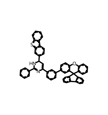 C1=C(c2cccc(-c3ccc4c(c3)C3(c5ccccc5O4)c4ccccc4-c4ccccc43)c2)N=C(c2ccccc2)NC1c1ccc2c(c1)sc1ccccc12